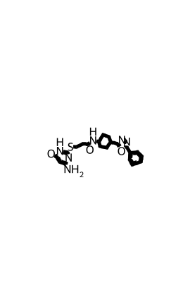 Nc1cc(=O)[nH]c(SCCC(=O)NC2CCC(c3nnc(-c4ccccc4)o3)CC2)n1